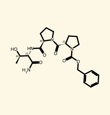 C[C@@H](O)[C@H](NC(=O)[C@H]1CCCN1C(=O)[C@@H]1CCCN1C(=O)OCc1ccccc1)C(N)=O